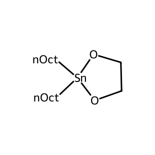 CCCCCCC[CH2][Sn]1([CH2]CCCCCCC)[O]CC[O]1